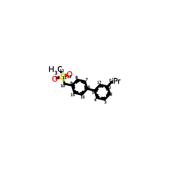 CC(C)c1cccc(-c2ccc(CS(C)(=O)=O)cc2)c1